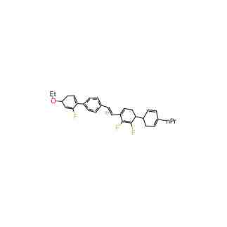 CCCC1=CCC(C2CC=C(/C=C/c3ccc(C4=CCC(OCC)C=C4F)cc3)C(F)=C2F)C=C1